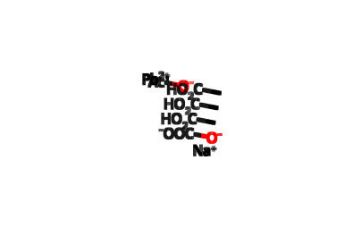 CC(=O)O.CC(=O)O.CC(=O)O.CC(=O)[O-].O=C([O-])[O-].[Na+].[Pb+2]